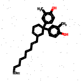 CCCCCCCCCCCCCCCCCCC1CCCC(c2ccc(O)c(C)c2)(c2ccc(O)c(C)c2)C1